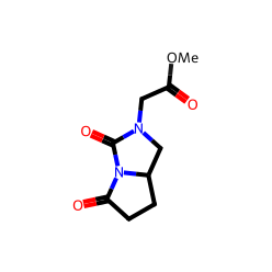 COC(=O)CN1CC2CCC(=O)N2C1=O